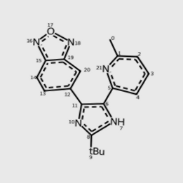 Cc1cccc(-c2[nH]c(C(C)(C)C)nc2-c2ccc3nonc3c2)n1